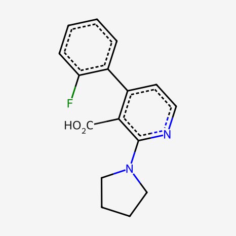 O=C(O)c1c(-c2ccccc2F)ccnc1N1CCCC1